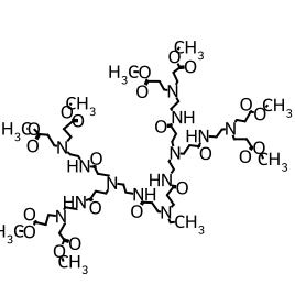 CCN(CCC(=O)NCCN(CCC(=O)NCCN(CCC(=O)OC)CCC(=O)OC)CCC(=O)NCCN(CCC(=O)OC)CCC(=O)OC)CCC(=O)NCCN(CCC(=O)NCCN(CCC(=O)OC)CCC(=O)OC)CCC(=O)NCCN(CCC(=O)OC)CCC(=O)OC